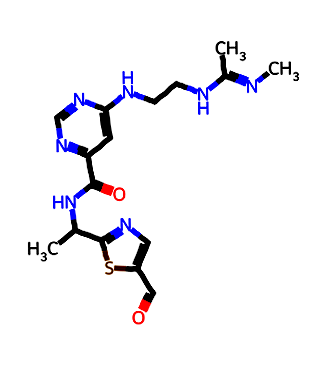 C/N=C(\C)NCCNc1cc(C(=O)NC(C)c2ncc(C=O)s2)ncn1